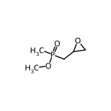 COP(C)(=O)CC1CO1